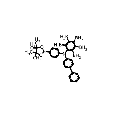 Bc1c(B)c(B)c(N(c2ccc(B3OC(C)(C)C(C)(C)O3)cc2)c2ccc(-c3ccccc3)cc2)c(B)c1B